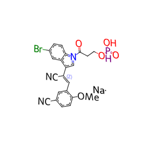 COc1ccc(C#N)cc1/C=C(\C#N)c1cn(C(=O)CCO[PH](=O)O)c2ccc(Br)cc12.[Na]